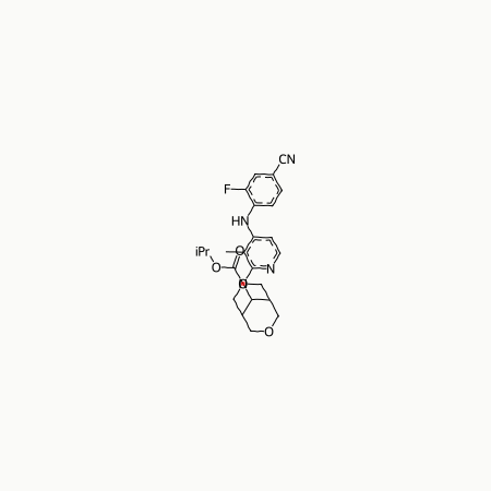 Cc1c(Nc2ccc(C#N)cc2F)ccnc1OC1C2COCC1CN(C(=O)OC(C)C)C2